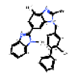 CCCc1nc2c(C)cc(-c3nc4ccccc4n3C)cc2n1Cc1ccc(-c2ccccc2)c(C#N)c1